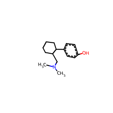 CN(C)CC1CCCCC1c1ccc(O)cc1